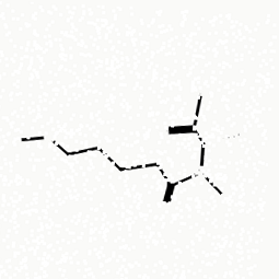 CSCCCCC(=S)N(C)[C@@H](C)C(=O)O